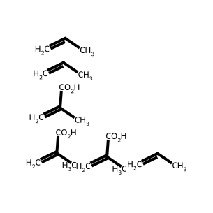 C=C(C)C(=O)O.C=C(C)C(=O)O.C=C(C)C(=O)O.C=CC.C=CC.C=CC